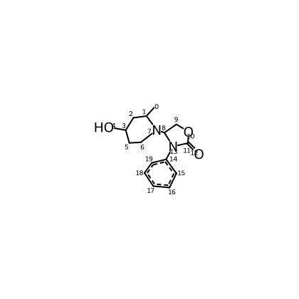 CC1CC(O)CCN1C1COC(=O)N1c1ccccc1